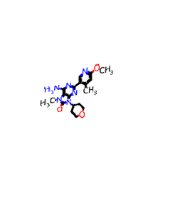 COc1cc(C)c(-c2nc(N)c3c(n2)n(C2CCOCC2)c(=O)n3C)cn1